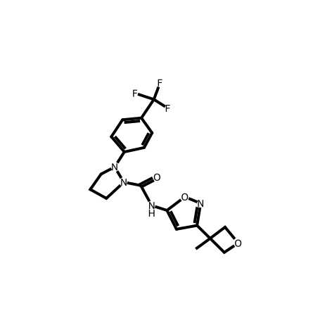 CC1(c2cc(NC(=O)N3CCCN3c3ccc(C(F)(F)F)cc3)on2)COC1